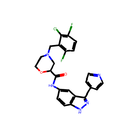 O=C(Nc1ccc2[nH]nc(-c3ccncc3)c2c1)C1CN(Cc2c(F)ccc(F)c2Cl)CCO1